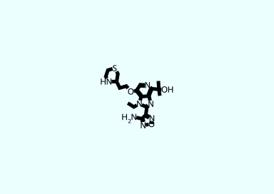 CCn1c(-c2nonc2N)nc2c(C(C)(C)O)ncc(OCCC3CSCCN3)c21